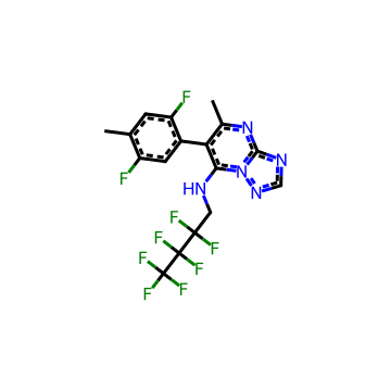 Cc1cc(F)c(-c2c(C)nc3ncnn3c2NCC(F)(F)C(F)(F)C(F)(F)F)cc1F